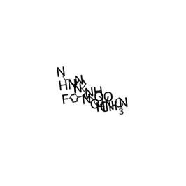 CC1(C(=O)Nc2ccncc2)COC(c2nc(-c3ccc(F)cc3)c(-c3ccnc(NCCC#N)n3)[nH]2)OC1